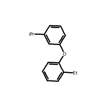 CCc1ccccc1Oc1cccc(C(C)C)c1